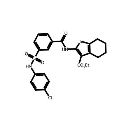 CCOC(=O)c1c(NC(=O)c2cccc(S(=O)(=O)Nc3ccc(Cl)cc3)c2)sc2c1CCCC2